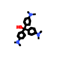 CN(C)c1ccc(C(O)(c2ccc(N(C)C)cc2)c2ccc(N(C)C)cc2)cc1